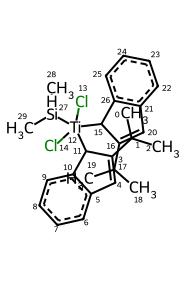 CC(C)C1=Cc2ccccc2[CH]1[Ti]([Cl])([Cl])([CH]1C(C(C)C)=Cc2ccccc21)[SiH](C)C